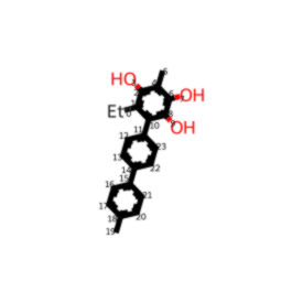 CCc1c(O)c(C)c(O)c(O)c1-c1ccc(-c2ccc(C)cc2)cc1